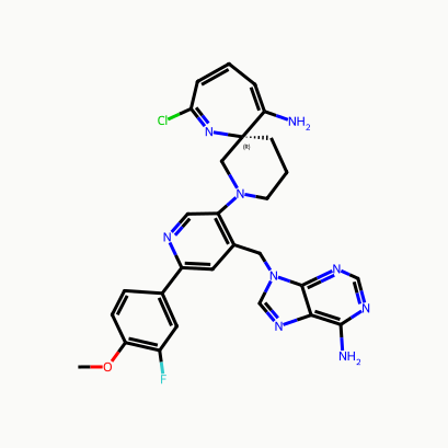 COc1ccc(-c2cc(Cn3cnc4c(N)ncnc43)c(N3CCC[C@]4(C3)N=C(Cl)C=CC=C4N)cn2)cc1F